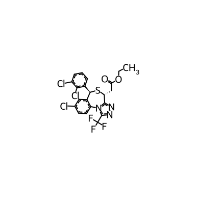 CCOC(=O)C[C@H]1S[C@H](c2cccc(Cl)c2Cl)c2cc(Cl)ccc2-n2c1nnc2C(F)(F)F